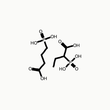 CCC(C(=O)O)P(=O)(O)O.O=C(O)CCCP(=O)(O)O